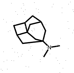 CN(C)C12CC3CC4CC(C1)C4(C3)C2